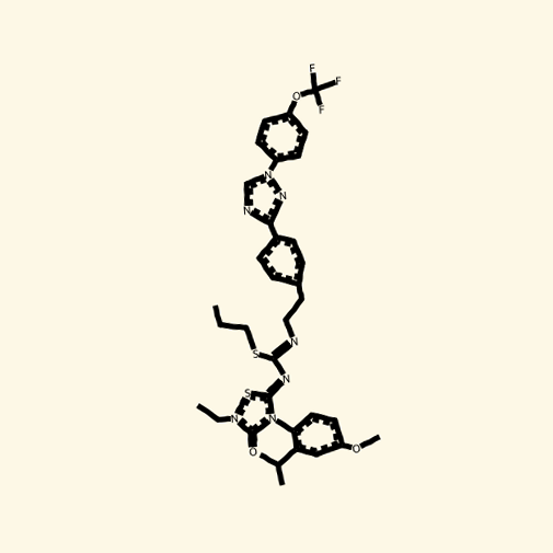 CCCSC(=N\CCc1ccc(-c2ncn(-c3ccc(OC(F)(F)F)cc3)n2)cc1)/N=c1\sn(CC)c(=O)n1-c1ccc(OC)cc1C(C)C